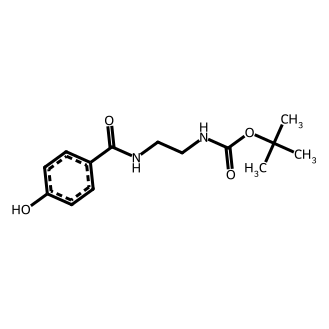 CC(C)(C)OC(=O)NCCNC(=O)c1ccc(O)cc1